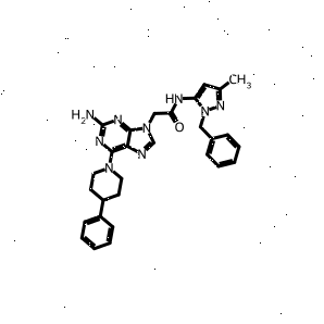 Cc1cc(NC(=O)Cn2cnc3c(N4CCC(c5ccccc5)CC4)nc(N)nc32)n(Cc2ccccc2)n1